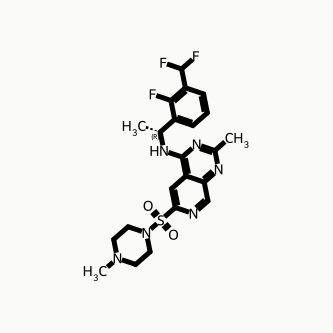 Cc1nc(N[C@H](C)c2cccc(C(F)F)c2F)c2cc(S(=O)(=O)N3CCN(C)CC3)ncc2n1